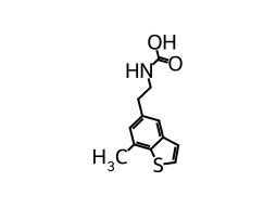 Cc1cc(CCNC(=O)O)cc2ccsc12